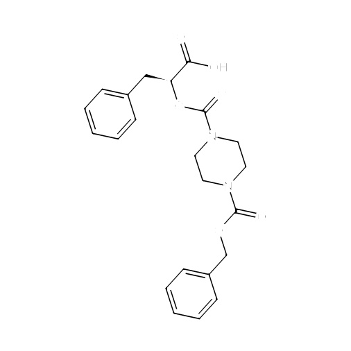 O=C(O)[C@H](Cc1ccccc1)OC(=O)N1CCN(C(=O)OCc2ccccc2)CC1